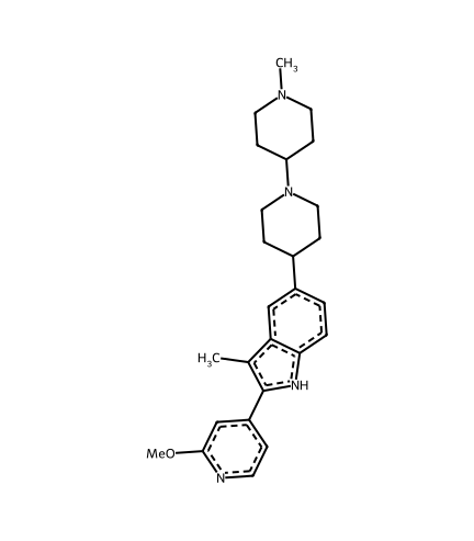 COc1cc(-c2[nH]c3ccc(C4CCN(C5CCN(C)CC5)CC4)cc3c2C)ccn1